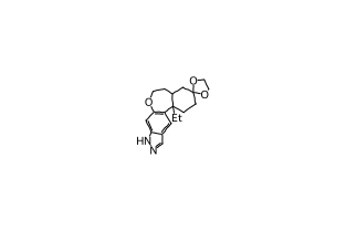 CCC12CCC3(CC1CCOc1cc4[nH]ncc4cc12)OCCO3